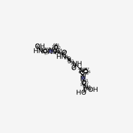 O=C(CCC[n+]1ccc(/N=N/c2ccc(N(CCO)CCO)cc2)c2ccccc21)NCCSSCCNC(=O)CC[n+]1ccc(/N=N/c2ccc(NCCO)cc2)c2ccccc21